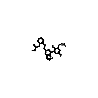 COC(=O)Cc1ccccc1OCc1cc(-c2cc(F)cc(CN)c2F)c2occc2c1